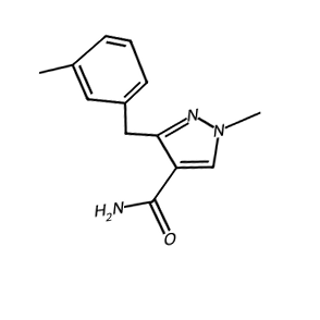 Cc1cccc(Cc2nn(C)cc2C(N)=O)c1